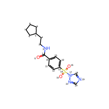 O=C(NCCC1CCCC1)c1ccc(S(=O)(=O)n2cncn2)cc1